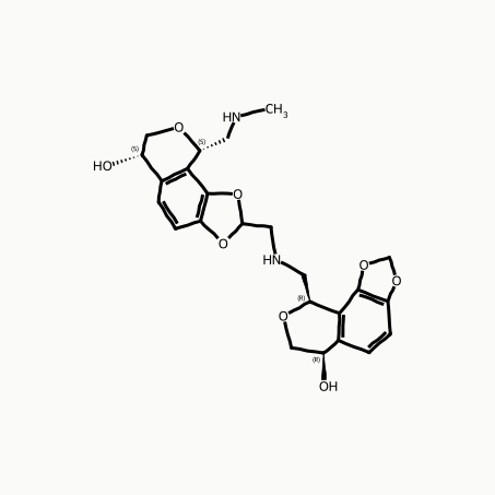 CNC[C@H]1OC[C@@H](O)c2ccc3c(c21)OC(CNC[C@@H]1OC[C@H](O)c2ccc4c(c21)OCO4)O3